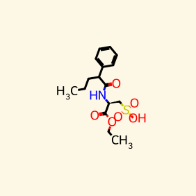 CCCC(C(=O)N[C@@H](CS(=O)(=O)O)C(=O)OCC)c1ccccc1